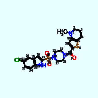 CN1CCCc2sc(C(=O)N3CCN(S(=O)(=O)c4cc5cc(Cl)ccc5[nH]4)CC3)cc21